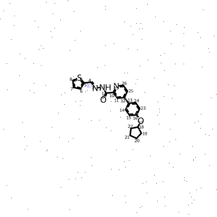 O=C(N/N=C/c1cccs1)c1cc(-c2ccc(OC3CCCC3)cc2)ccn1